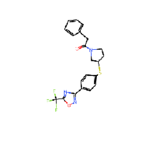 O=C(Cc1ccccc1)N1CCC(Sc2ccc(-c3noc(C(F)(F)F)n3)cc2)C1